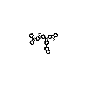 c1ccc(N(c2ccccc2)c2ccc3c(c2)oc2ccc(N(c4ccc(-c5ccc6ccccc6c5)cc4)c4ccc5c(c4)sc4ccccc45)cc23)cc1